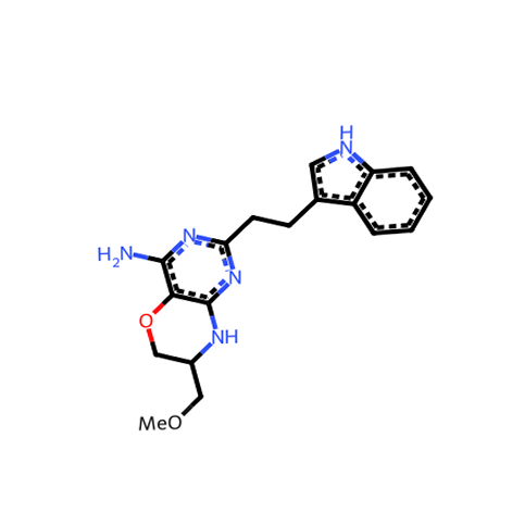 COCC1COc2c(N)nc(CCc3c[nH]c4ccccc34)nc2N1